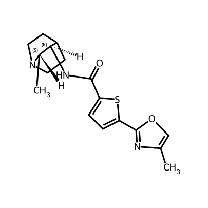 Cc1coc(-c2ccc(C(=O)N[C@@H]3C4CCN(CC4)[C@H]3C)s2)n1